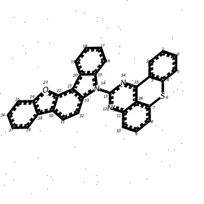 c1ccc2c(c1)Sc1cccc3nc(-n4c5ccccc5c5c6oc7ccccc7c6ccc54)nc-2c13